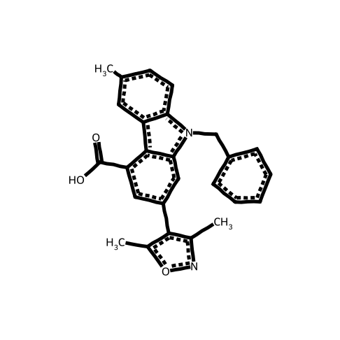 Cc1ccc2c(c1)c1c(C(=O)O)cc(-c3c(C)noc3C)cc1n2Cc1ccccc1